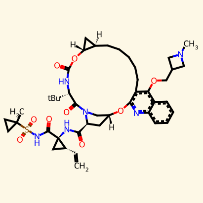 C=C[C@@H]1C[C@]1(NC(=O)[C@@H]1C[C@@H]2CN1C(=O)[C@H](C(C)(C)C)NC(=O)O[C@@H]1C[C@H]1CCCCCc1c(nc3ccccc3c1OCC1CN(C)C1)O2)C(=O)NS(=O)(=O)C1(C)CC1